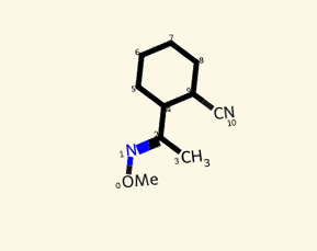 CO/N=C(\C)C1CCCCC1C#N